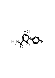 Cl.NC(=O)c1cccn(-c2ccc(F)cc2)c1=O